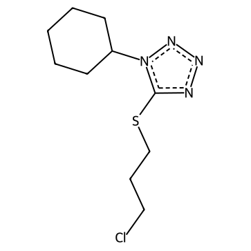 ClCCCSc1nnnn1C1CCCCC1